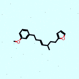 COc1cccc(CC/C=C/C(C)CCc2ccco2)c1